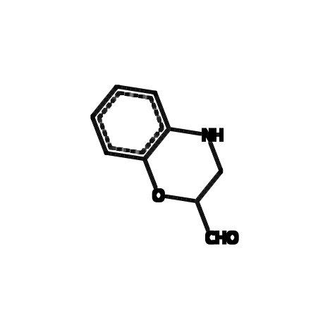 O=CC1CNc2ccccc2O1